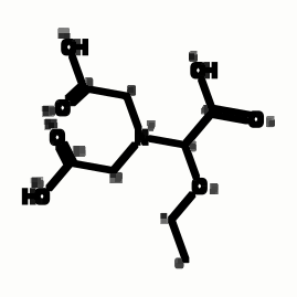 CCOC(C(=O)O)N(CC(=O)O)CC(=O)O